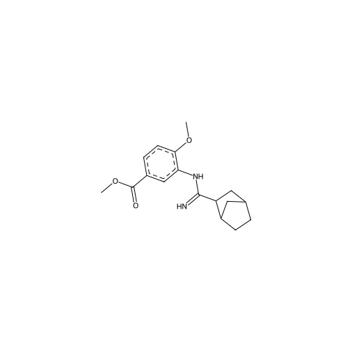 COC(=O)c1ccc(OC)c(NC(=N)C2CC3CCC2C3)c1